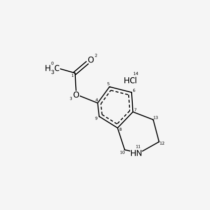 CC(=O)Oc1ccc2c(c1)CNCC2.Cl